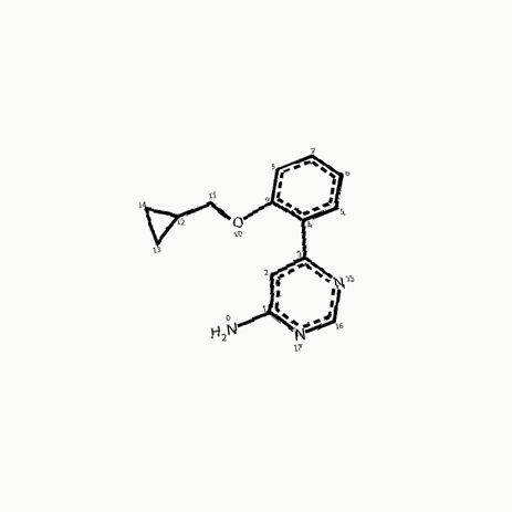 Nc1cc(-c2ccccc2OCC2CC2)ncn1